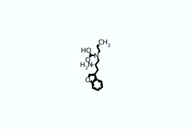 C=CCN(C[C@@H](N)Cc1coc2ccccc12)C(=O)O